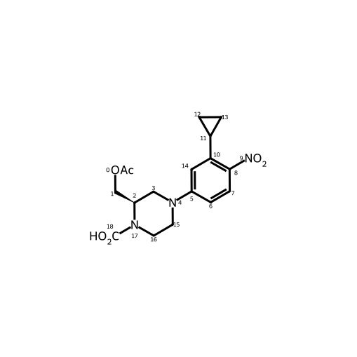 CC(=O)OC[C@H]1CN(c2ccc([N+](=O)[O-])c(C3CC3)c2)CCN1C(=O)O